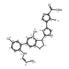 COC(=O)c1scc(-c2c[nH]c(C3CCc4cc(-c5cc(Cl)ccc5N/C=N\N)c[n+](O)c43)n2)c1F